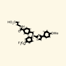 COc1ccc(-c2csc(N(Cc3ccc(C(=O)NCCC(=O)O)cc3)c3ccc(OC(F)(F)F)cc3)n2)cc1